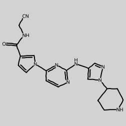 N#CCNC(=O)c1ccn(-c2ccnc(Nc3cnn(C4CCNCC4)c3)n2)c1